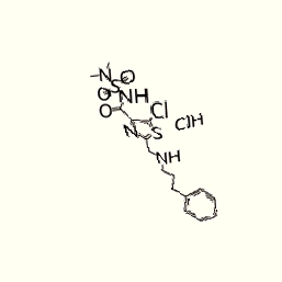 CN(C)S(=O)(=O)NC(=O)c1nc(CNCCCc2ccccc2)sc1Cl.Cl